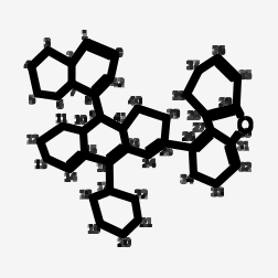 C1=CC2CCCCC2C(C2C3CCCC=C3C(C3CCCCC3)=C3C=C(C4=c5c6c(oc5=CCC4)C=CCC6)CCC32)=C1